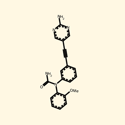 COc1ccccc1N(C(N)=O)c1cccc(C#Cc2cnc(N)nc2)c1